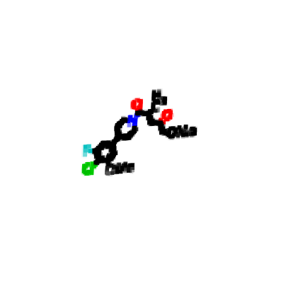 COCC(=O)CC(C)C(=O)N1CCC(c2cc(F)c(Cl)c(OC)c2)CC1